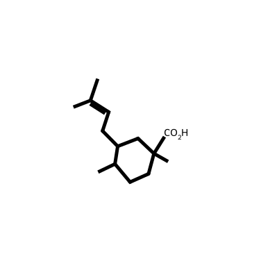 CC(C)=CCC1CC(C)(C(=O)O)CCC1C